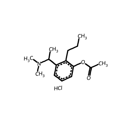 CCCc1c(OC(C)=O)cccc1C(C)N(C)C.Cl